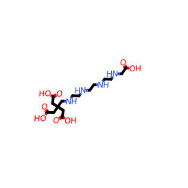 O=C(O)CNCCNCCNCCNCC(CC(=O)O)(CC(=O)O)CC(=O)O